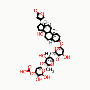 C[C@H]1O[C@@H](O[C@H]2CC[C@]3(C)C4CC[C@]5(C)[C@@H](C6=CC(=O)OC6)CC[C@]5(O)C4CC[C@@H]3C2)C[C@H](O)[C@@H]1O[C@H]1C[C@H](O)[C@H](O[C@H]2C[C@H](OC(=O)O)[C@H](O)[C@@H](O)O2)[C@@H](C)O1